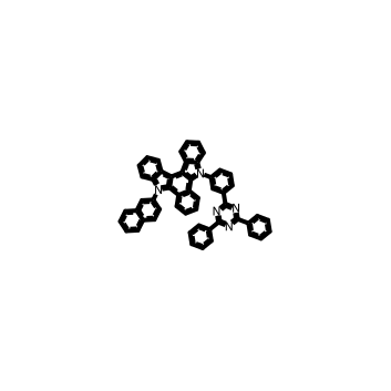 c1ccc(-c2nc(-c3ccccc3)nc(-c3cccc(-n4c5ccccc5c5c6c7ccccc7n(-c7ccc8ccccc8c7)c6c6ccccc6c54)c3)n2)cc1